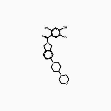 CC(C)c1cc(C(=O)N2Cc3ccc(N4CCC(N5CCOCC5)CC4)cc3C2)c(O)cc1O